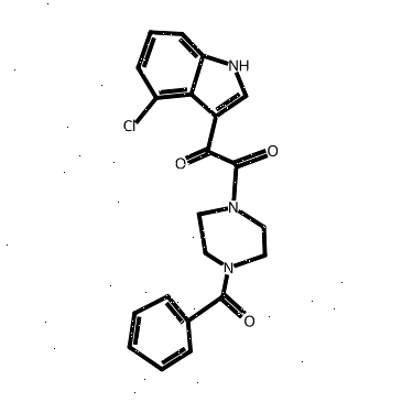 O=C(C(=O)N1CCN(C(=O)c2ccccc2)CC1)c1c[nH]c2cccc(Cl)c12